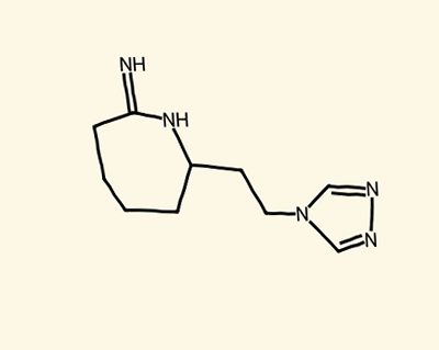 N=C1CCCCC(CCn2cnnc2)N1